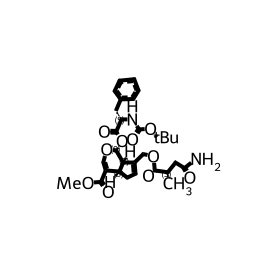 COC(=O)C1=CO[C@@H](OC(=O)[C@H](Cc2ccccc2)NC(=O)OC(C)(C)C)[C@@H]2C(COC(=O)[C@@H](C)CC(N)=O)=CC[C@H]12